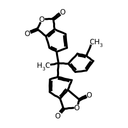 Cc1cccc(C(C)(c2ccc3c(c2)C(=O)OC3=O)c2ccc3c(c2)C(=O)OC3=O)c1